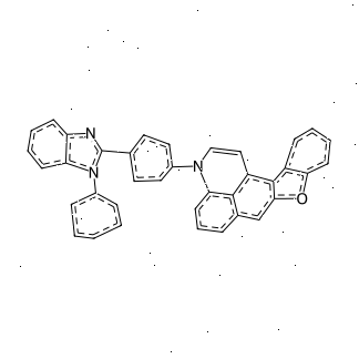 C1=CN(c2ccc(-c3nc4ccccc4n3-c3ccccc3)cc2)c2cccc3cc4oc5ccccc5c4c1c23